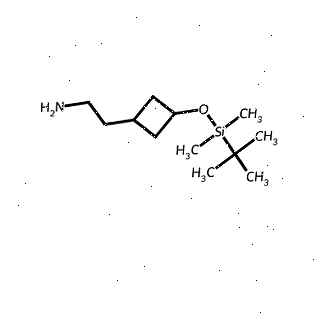 CC(C)(C)[Si](C)(C)OC1CC(CCN)C1